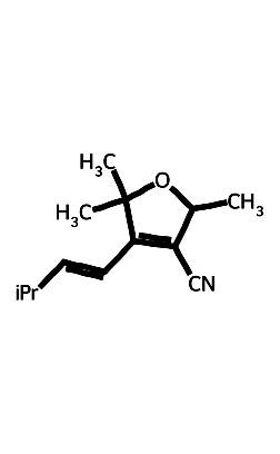 CC(C)/C=C/C1=C(C#N)C(C)OC1(C)C